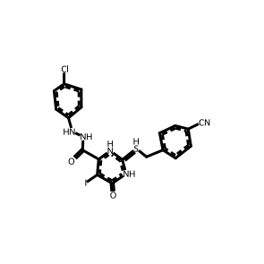 N#Cc1ccc(C[SH]=c2[nH]c(C(=O)NNc3ccc(Cl)cc3)c(I)c(=O)[nH]2)cc1